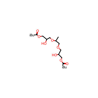 CCC(C)C(=O)OCC(O)COCC(C)OCC(O)COC(=O)C(C)CC